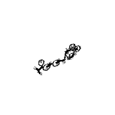 CC(C)C(=O)OCOCCN1CCS(=O)(=O)CC1